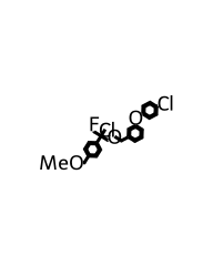 COCc1ccc(C(Cl)(CF)COCc2cccc(Oc3ccc(Cl)cc3)c2)cc1